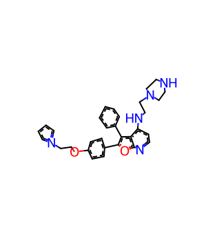 c1ccc(-c2c(-c3ccc(OCCn4cccc4)cc3)oc3nccc(NCCN4CCNCC4)c23)cc1